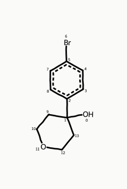 OC1(c2ccc(Br)cc2)CCOCC1